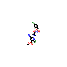 CCOC(=O)c1cc(C#N)c(N2CC(C(=O)NS(=O)(=O)Cc3ccc(Cl)cc3F)C2)nc1C(F)(F)F